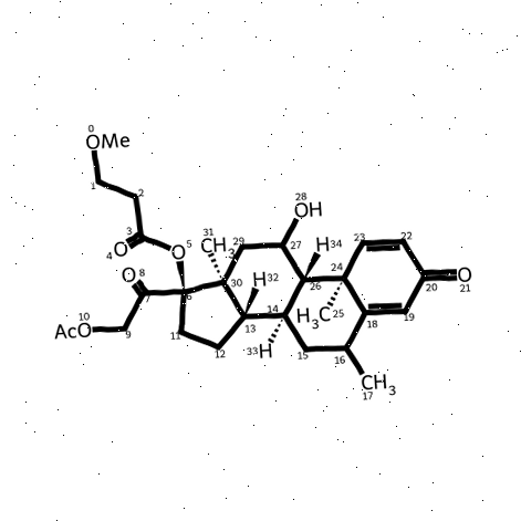 COCCC(=O)O[C@]1(C(=O)COC(C)=O)CC[C@H]2[C@@H]3CC(C)C4=CC(=O)C=C[C@]4(C)[C@H]3C(O)C[C@@]21C